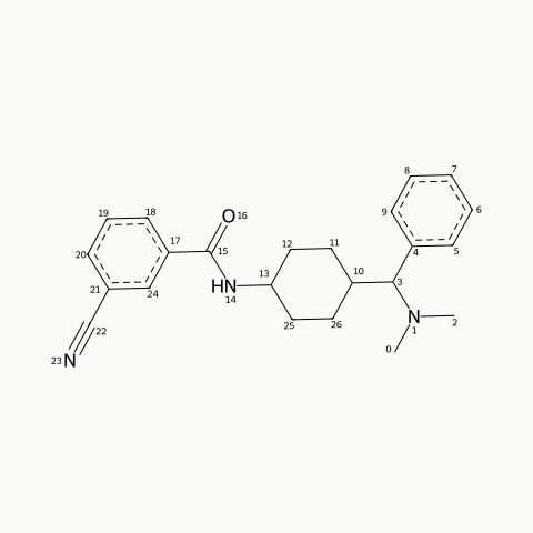 CN(C)C(c1ccccc1)C1CCC(NC(=O)c2cccc(C#N)c2)CC1